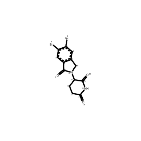 [2H]c1cc2c(cc1Br)C(=O)N(C1CCC(=O)NC1=O)C2